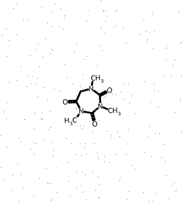 CN1CC(=O)N(C)C(=O)N(C)C1=O